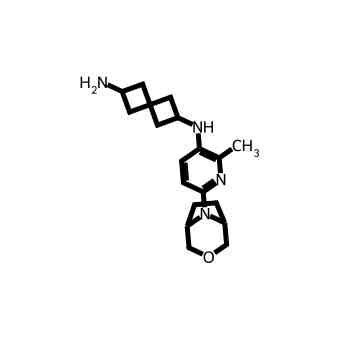 Cc1nc(N2C3CCC2COC3)ccc1NC1CC2(CC(N)C2)C1